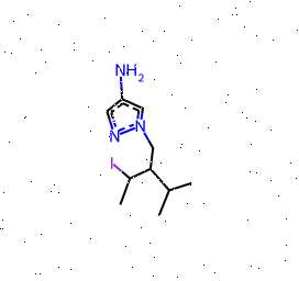 CC(C)C(Cn1cc(N)cn1)C(C)I